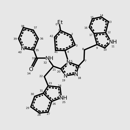 CCc1ccc(-n2c(CCc3c[nH]c4ccccc34)nnc2C(Cc2c[nH]c3ccccc23)NC(=O)c2ccccn2)cc1